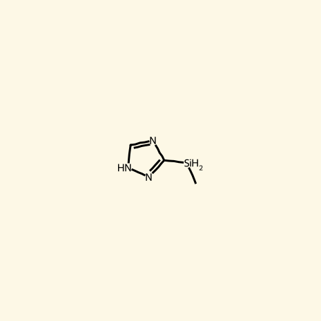 C[SiH2]c1nc[nH]n1